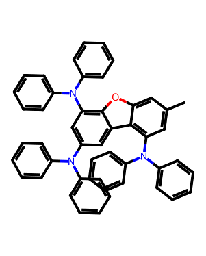 Cc1cc(N(c2ccccc2)c2ccccc2)c2c(c1)oc1c(N(c3ccccc3)c3ccccc3)cc(N(c3ccccc3)c3ccccc3)cc12